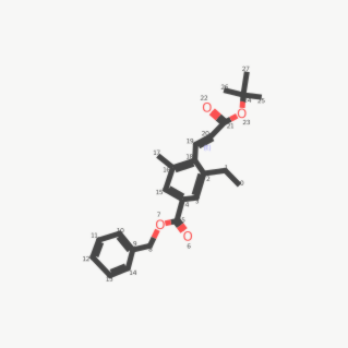 CCc1cc(C(=O)OCc2ccccc2)cc(C)c1/C=C/C(=O)OC(C)(C)C